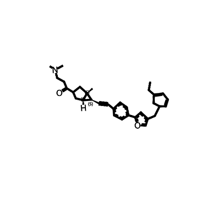 CCC1=CC=CC(Cc2coc(-c3ccc(C#C[C@H]4[C@@H]5CC(C(=O)CCN(C)C)C[C@]45C)cc3)c2)C1